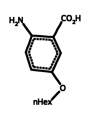 CCCCCCOc1ccc(N)c(C(=O)O)c1